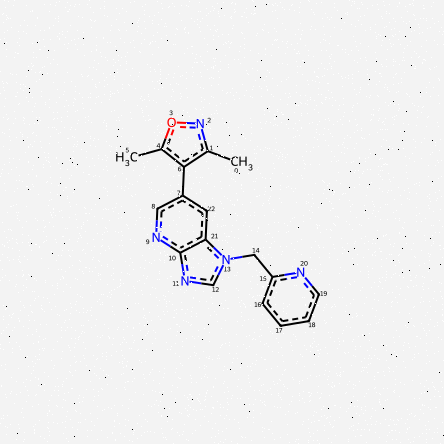 Cc1noc(C)c1-c1cnc2ncn(Cc3ccccn3)c2c1